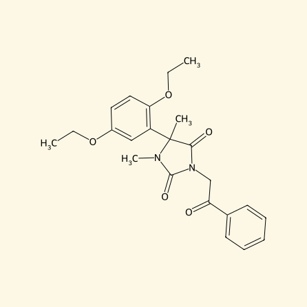 CCOc1ccc(OCC)c(C2(C)C(=O)N(CC(=O)c3ccccc3)C(=O)N2C)c1